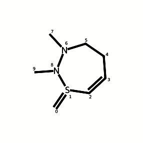 C=S1C=CCCN(C)N1C